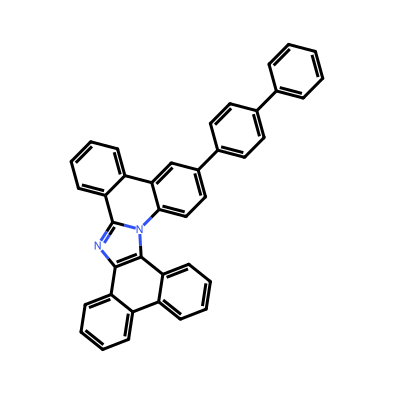 c1ccc(-c2ccc(-c3ccc4c(c3)c3ccccc3c3nc5c6ccccc6c6ccccc6c5n43)cc2)cc1